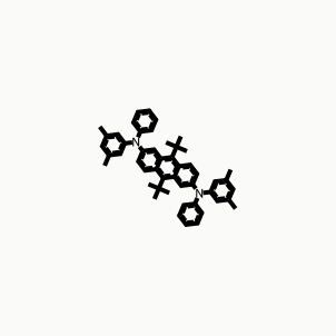 Cc1cc(C)cc(N(c2ccccc2)c2ccc3c(C(C)(C)C)c4cc(N(c5ccccc5)c5cc(C)cc(C)c5)ccc4c(C(C)(C)C)c3c2)c1